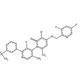 Cc1cnc(-c2cccc(C(C)(C)O)c2)c(F)c1-n1c(C)cc(OCc2ncc(F)cc2F)c(Cl)c1=O